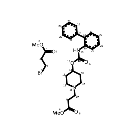 COC(=O)CCBr.COC(=O)CCN1CCC(OC(=O)Nc2ccccc2-c2ccccc2)CC1